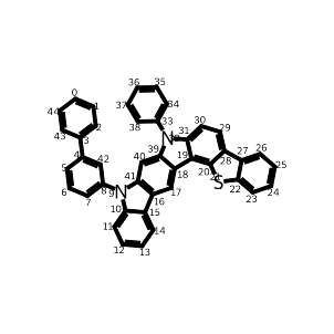 c1ccc(-c2cccc(-n3c4ccccc4c4cc5c6c7sc8ccccc8c7ccc6n(-c6ccccc6)c5cc43)c2)cc1